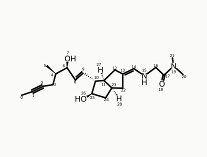 CC#CC[C@@H](C)[C@@H](O)/C=C/[C@@H]1[C@H]2CC(=CNCC(=O)N(C)C)C[C@H]2C[C@H]1O